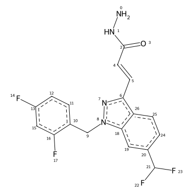 NNC(=O)C=Cc1nn(Cc2ccc(F)cc2F)c2cc(C(F)F)ccc12